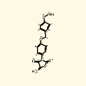 C=C1SC(=S)N(c2ccc(OCc3ccc(OCCCC)cc3)cc2)C1=O